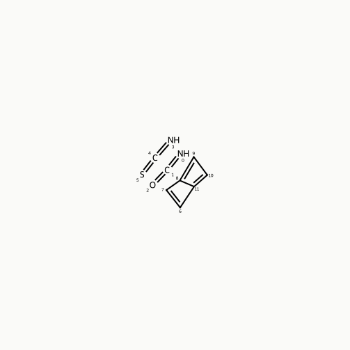 N=C=O.N=C=S.c1cc2ccc1-2